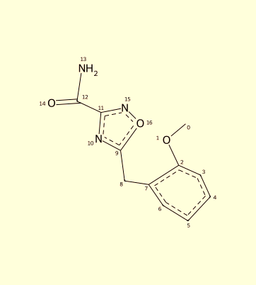 COc1ccccc1Cc1nc(C(N)=O)no1